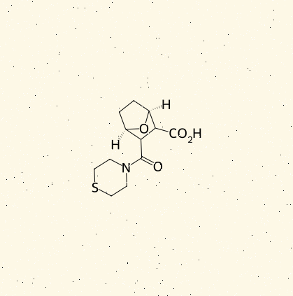 O=C(O)C1C(C(=O)N2CCSCC2)[C@H]2CC[C@@H]1O2